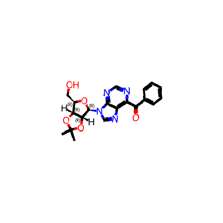 CC1(C)O[C@@H]2[C@H](O1)[C@@H](CO)O[C@H]2n1cnc2c(C(=O)c3ccccc3)ncnc21